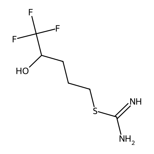 N=C(N)SCCCC(O)C(F)(F)F